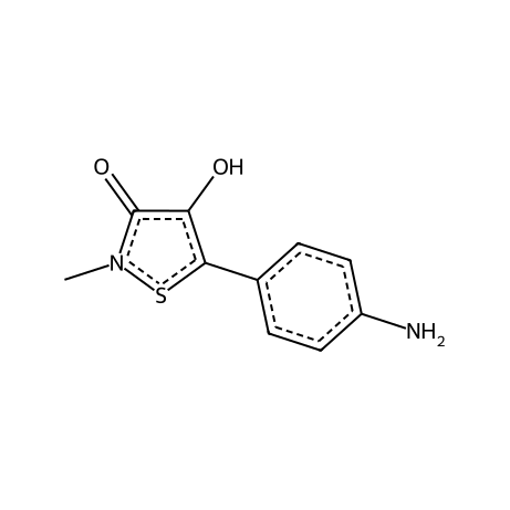 Cn1sc(-c2ccc(N)cc2)c(O)c1=O